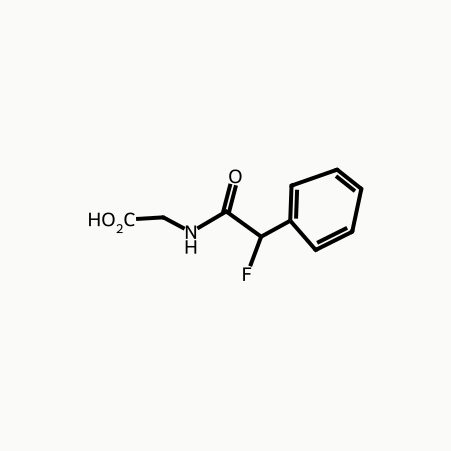 O=C(O)CNC(=O)C(F)c1ccccc1